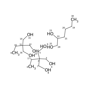 CCC(CO)(CO)CO.CCC(CO)(CO)CO.CCCCC(O)CO